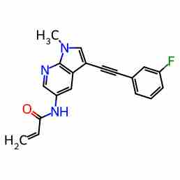 C=CC(=O)Nc1cnc2c(c1)c(C#Cc1cccc(F)c1)cn2C